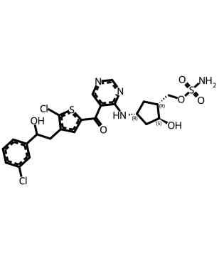 NS(=O)(=O)OC[C@H]1C[C@@H](Nc2ncncc2C(=O)c2cc(CC(O)c3cccc(Cl)c3)c(Cl)s2)C[C@@H]1O